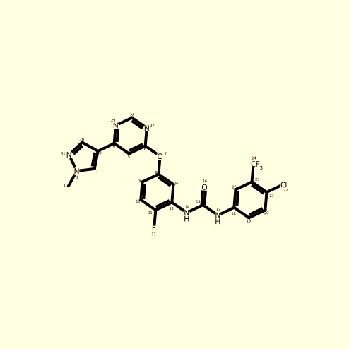 Cn1cc(-c2cc(Oc3ccc(F)c(NC(=O)Nc4ccc(Cl)c(C(F)(F)F)c4)c3)ncn2)cn1